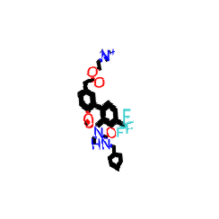 CCN(Cc1cc(C(F)(F)F)ccc1-c1cc(CC(=O)OCC[N+](C)(C)C)ccc1OC)C(=O)NCc1ccccc1